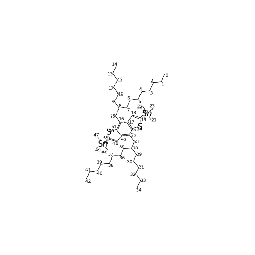 CCCCCCCCC(CCCCCC)Cc1c2c[c]([Sn]([CH3])([CH3])[CH3])sc2c(CC(CCCCCC)CCCCCCCC)c2c[c]([Sn]([CH3])([CH3])[CH3])sc12